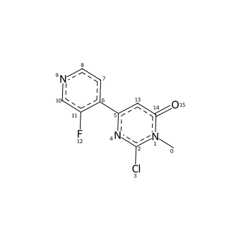 Cn1c(Cl)nc(-c2ccncc2F)cc1=O